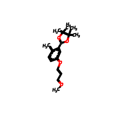 COCCCOc1ccc(C)c(B2OC(C)(C)C(C)(C)O2)c1